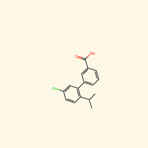 CC(C)c1ccc(Cl)cc1-c1cccc(C(=O)O)c1